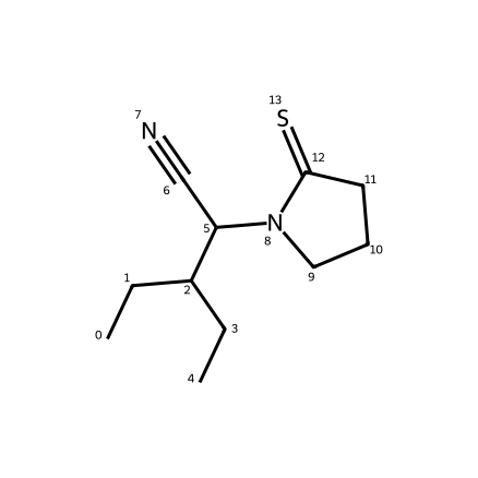 CCC(CC)C(C#N)N1CCCC1=S